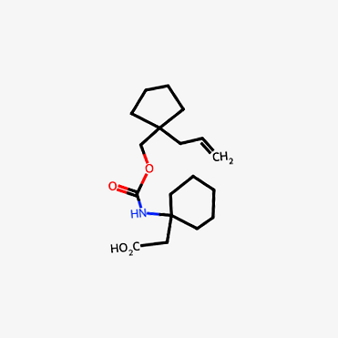 C=CCC1(COC(=O)NC2(CC(=O)O)CCCCC2)CCCC1